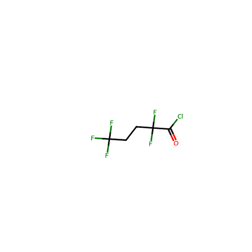 O=C(Cl)C(F)(F)CCC(F)(F)F